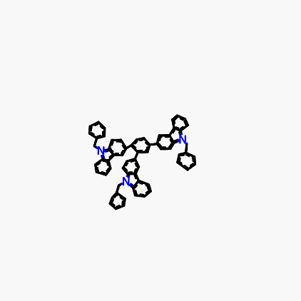 c1ccc(Cn2c3ccccc3c3cc(-c4ccc(-c5ccc6c(c5)c5ccccc5n6Cc5ccccc5)c(-c5ccc6c(c5)c5ccccc5n6Cc5ccccc5)c4)ccc32)cc1